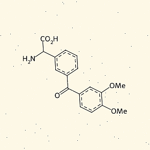 COc1ccc(C(=O)c2cccc(C(N)C(=O)O)c2)cc1OC